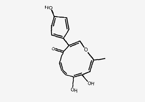 Cc1cc(O)c(O)ccc(=O)c(-c2ccc(O)cc2)co1